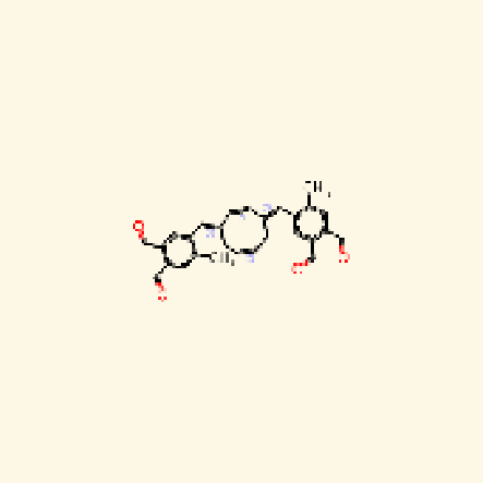 Cc1cc(C=O)c(C=O)cc1/C=C1/C=C\C(=C\c2cc(C=O)c(C=O)cc2C)C/C=C\C1